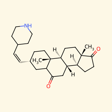 C[C@]12CC[C@@H](/C=C\C3CCNCC3)CC1C(=O)C[C@@H]1[C@@H]2CC[C@]2(C)C(=O)CC[C@@H]12